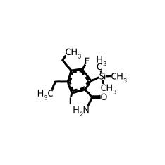 CCc1c(F)c([Si](C)(C)C)c(C(N)=O)c(I)c1CC